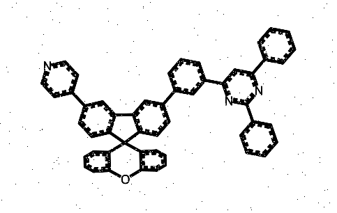 c1ccc(-c2cc(-c3cccc(-c4ccc5c(c4)-c4cc(-c6ccncc6)ccc4C54c5ccccc5Oc5ccccc54)c3)nc(-c3ccccc3)n2)cc1